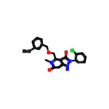 COc1cccc(COCc2c3c(=O)n(-c4ccccc4Cl)[nH]c3cc(=O)n2C)c1